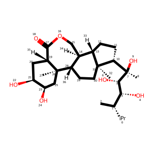 CC(C)[C@H](C)[C@@H](O)[C@H](O)[C@](C)(O)[C@H]1CC[C@H]2[C@@H]3COC(=O)[C@H]4C[C@H](O)[C@H](O)C[C@]4(C)[C@H]3CC[C@]12C